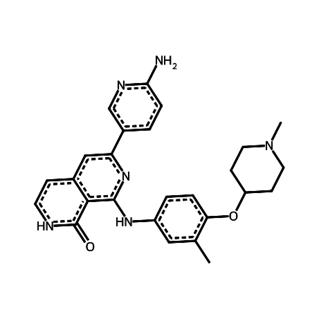 Cc1cc(Nc2nc(-c3ccc(N)nc3)cc3cc[nH]c(=O)c23)ccc1OC1CCN(C)CC1